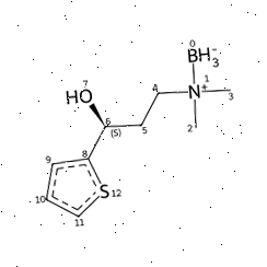 [BH3-][N+](C)(C)CC[C@H](O)c1cccs1